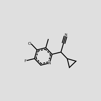 Cc1c(C(C#N)C2CC2)ncc(F)c1Cl